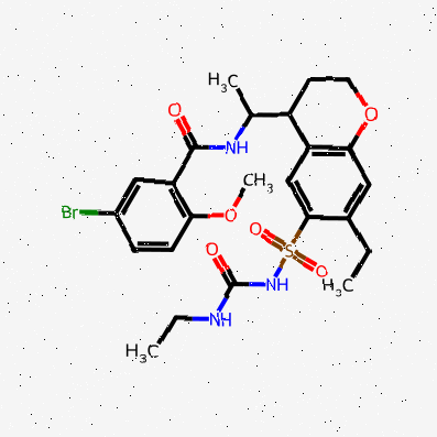 CCNC(=O)NS(=O)(=O)c1cc2c(cc1CC)OCCC2C(C)NC(=O)c1cc(Br)ccc1OC